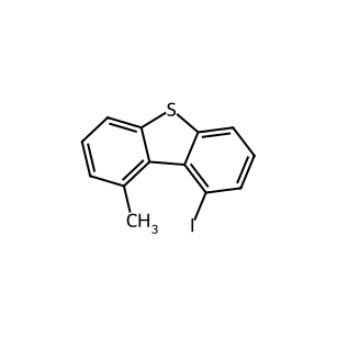 Cc1cccc2sc3cccc(I)c3c12